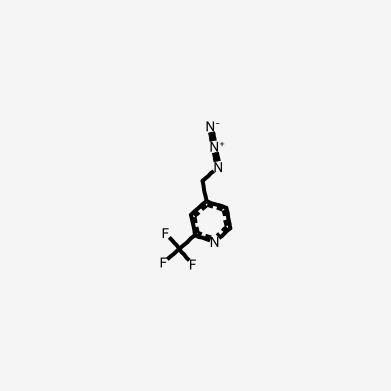 [N-]=[N+]=NCc1ccnc(C(F)(F)F)c1